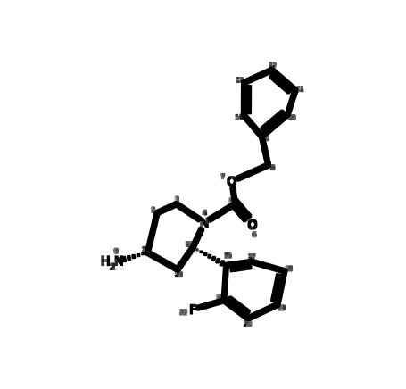 N[C@@H]1CCN(C(=O)OCc2ccccc2)[C@H](c2ccccc2F)C1